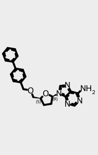 Nc1ncnc2c1ncn2[C@H]1CC[C@@H](COCc2ccc(-c3ccccc3)cc2)O1